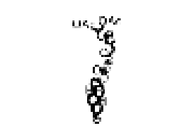 CC(=O)OCC(COC(C)=O)OC(=O)CC(C)CC(=O)OCOC(=O)O[C@H]1CC[C@H]2[C@@H]3CCC4=CC(=O)CC[C@]4(C)[C@H]3CC[C@]12C